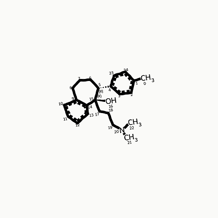 Cc1ccc([C@H]2CCCc3ccccc3[C@@]2(O)CCCN(C)C)cc1